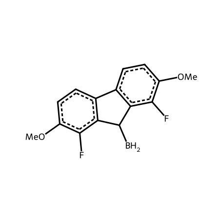 BC1c2c(ccc(OC)c2F)-c2ccc(OC)c(F)c21